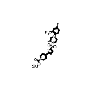 CC1CN(c2ccc(F)cc2C(F)(F)F)CCN1S(=O)(=O)c1ccc(C2CCN(C(=O)OC(C)(C)C)CC2)s1